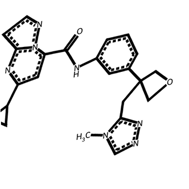 Cn1cnnc1CC1(c2cccc(NC(=O)c3cc(C4CC4)nc4ccnn34)c2)COC1